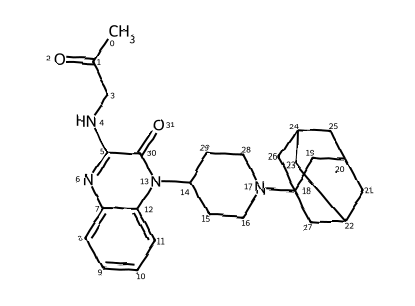 CC(=O)CNc1nc2ccccc2n(C2CCN(C34CC5CC(CC(C5)C3)C4)CC2)c1=O